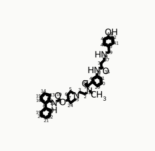 CN(CCN1CCC(OC(=O)Nc2ccccc2-c2ccccc2)CC1)C(=O)c1cccc(NC(=O)CCNCc2ccc(O)cc2)c1